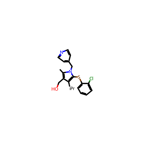 Cc1c(CO)c(C(C)C)c(Sc2ccccc2Cl)n1Cc1ccncc1